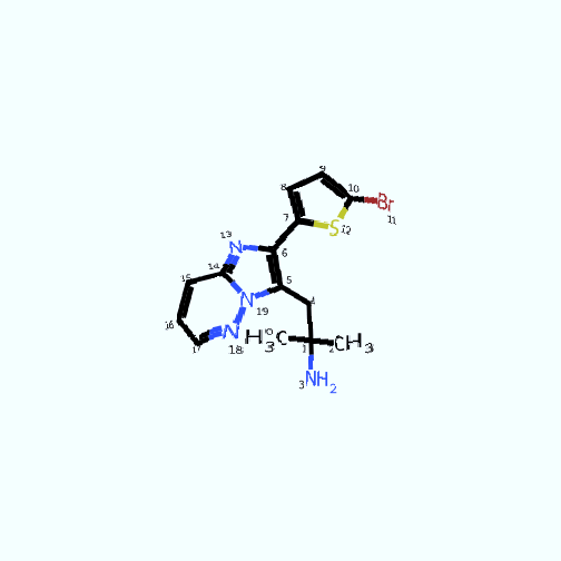 CC(C)(N)Cc1c(-c2ccc(Br)s2)nc2cccnn12